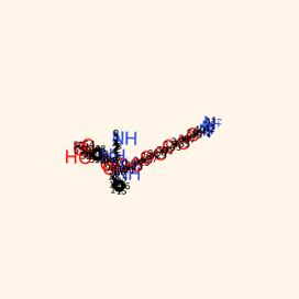 CNCCCCC(NC(=O)[C@H](Cc1ccccc1)NC(=O)CCOCCOCCOCCOCCOCCOCCN=[N+]=[N-])C(=O)Nc1ccc(C(O)C(=O)OC)cc1